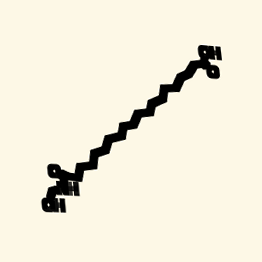 O=C(O)CCCCCCCCCCCCCCCCCCC(=O)NCO